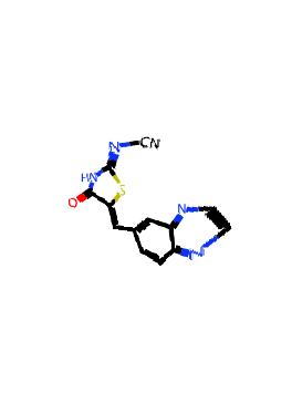 N#CN=C1NC(=O)C(=Cc2ccc3nccnc3c2)S1